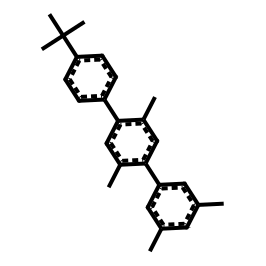 Cc1[c]c(C)cc(-c2cc(C)c(-c3ccc(C(C)(C)C)cc3)cc2C)c1